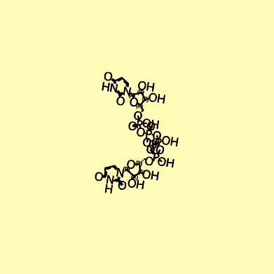 O=c1ccn([C@@H]2O[C@H](COP(=O)(O)OP(=O)(O)OP(=O)(O)OP(=O)(O)OC[C@H]3O[C@@H](n4ccc(=O)[nH]c4=O)[C@H](O)[C@H]3O)[C@H](O)[C@H]2O)c(=O)[nH]1